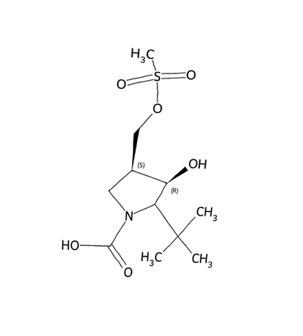 CC(C)(C)C1[C@H](O)[C@H](COS(C)(=O)=O)CN1C(=O)O